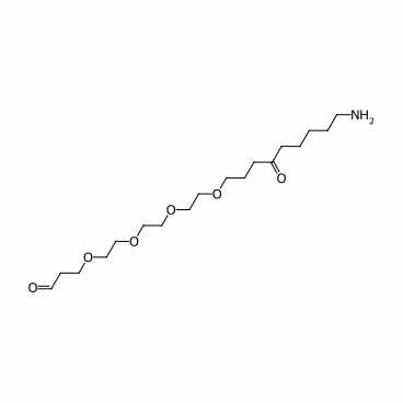 NCCCCCC(=O)CCCOCCOCCOCCOCCC=O